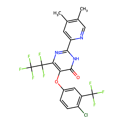 Cc1cnc(-c2nc(C(F)(F)C(F)(F)F)c(Oc3ccc(Cl)c(C(F)(F)F)c3)c(=O)[nH]2)cc1C